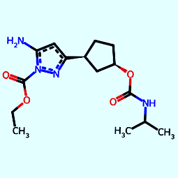 CCOC(=O)n1nc([C@H]2CC[C@@H](OC(=O)NC(C)C)C2)cc1N